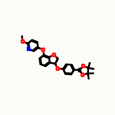 COc1ccc(Oc2cccc3c2OCC3Oc2ccc(B3OC(C)(C)C(C)(C)O3)cc2)cn1